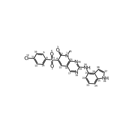 Cn1c(=O)c(S(=O)(=O)c2ccc(Cl)cc2)cc2cnc(Nc3cccc4[nH]ccc34)nc21